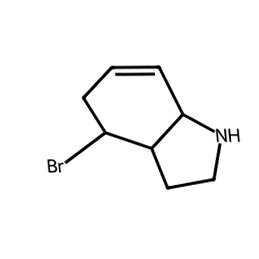 BrC1CC=CC2NCCC12